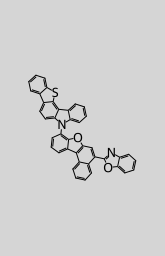 c1ccc2oc(-c3cc4oc5c(-n6c7ccccc7c7c8sc9ccccc9c8ccc76)cccc5c4c4ccccc34)nc2c1